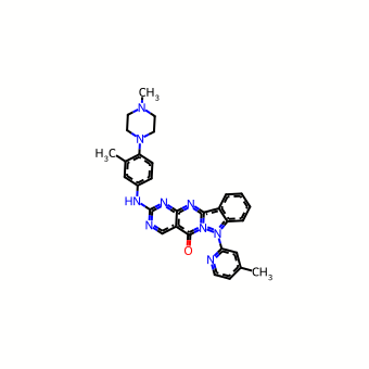 Cc1ccnc(-n2c3ccccc3c3nc4nc(Nc5ccc(N6CCN(C)CC6)c(C)c5)ncc4c(=O)n32)c1